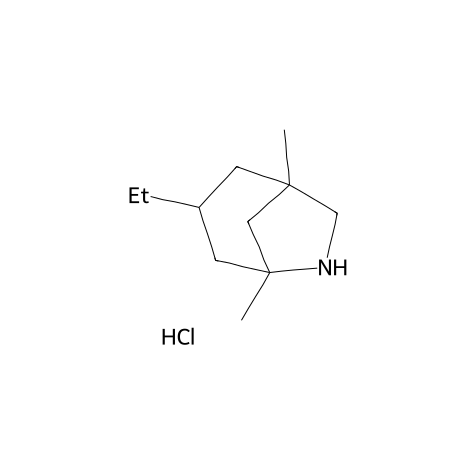 CCC1CC2(C)CNC(C)(C1)C2.Cl